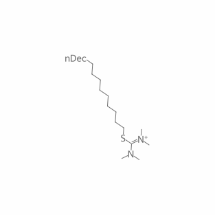 CCCCCCCCCCCCCCCCCCCSC(N(C)C)=[N+](C)C